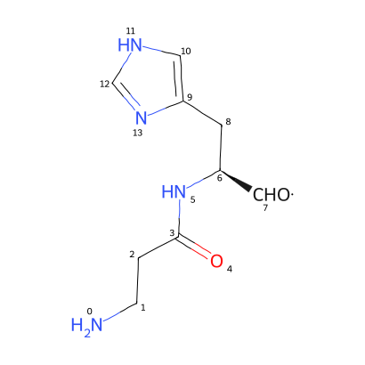 NCCC(=O)N[C@H]([C]=O)Cc1c[nH]cn1